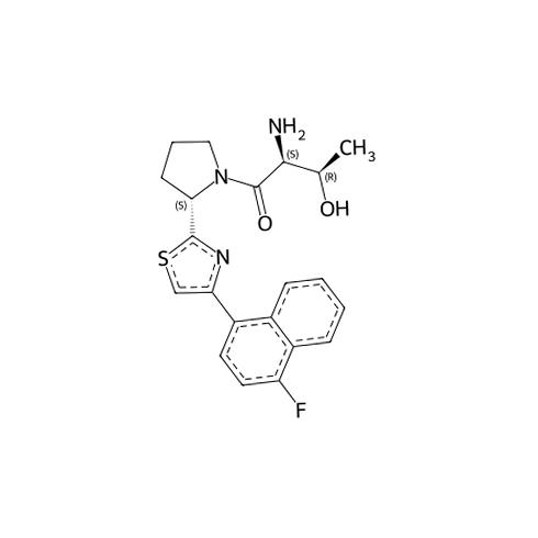 C[C@@H](O)[C@H](N)C(=O)N1CCC[C@H]1c1nc(-c2ccc(F)c3ccccc23)cs1